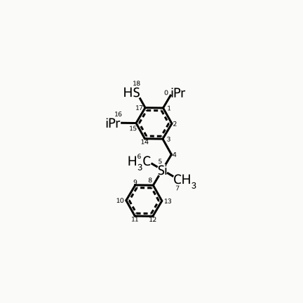 CC(C)c1cc(C[Si](C)(C)c2ccccc2)cc(C(C)C)c1S